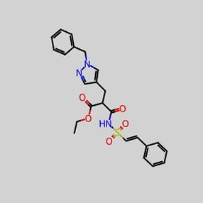 CCOC(=O)C(Cc1cnn(Cc2ccccc2)c1)C(=O)NS(=O)(=O)C=Cc1ccccc1